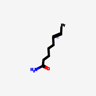 CC(C)/C=C/CCCCC(N)=O